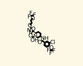 O=C(N[C@H]1CC[C@H](c2nnc(OCCOC(F)(F)F)o2)N(C(=O)O)C1)c1ccc(OC(F)(F)F)c(Cl)c1